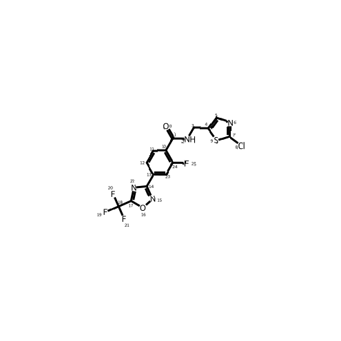 O=C(NCc1cnc(Cl)s1)c1ccc(-c2noc(C(F)(F)F)n2)cc1F